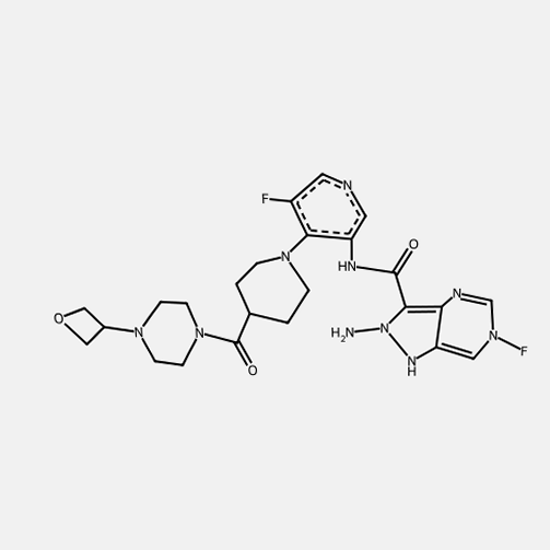 NN1NC2=CN(F)C=NC2=C1C(=O)Nc1cncc(F)c1N1CCC(C(=O)N2CCN(C3COC3)CC2)CC1